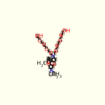 C=C1OC2(c3ccc(N(CC)CC)cc3Oc3ccc(N(CCOCCOCCOCCOCCO)COCCOCCOCCOCCO)cc32)c2ccccc21